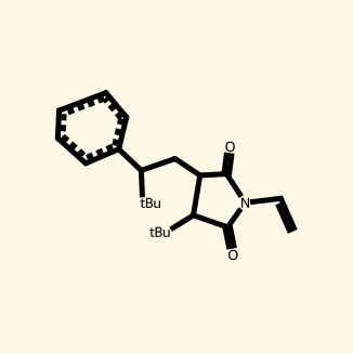 C=CN1C(=O)C(CC(c2ccccc2)C(C)(C)C)C(C(C)(C)C)C1=O